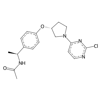 CC(=O)N[C@@H](C)c1ccc(O[C@@H]2CCN(c3ccnc(Cl)n3)C2)cc1